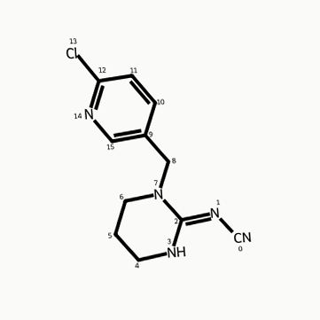 N#CN=C1NCCCN1Cc1ccc(Cl)nc1